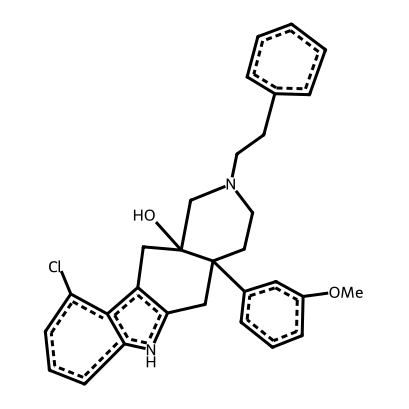 COc1cccc(C23CCN(CCc4ccccc4)CC2(O)Cc2c([nH]c4cccc(Cl)c24)C3)c1